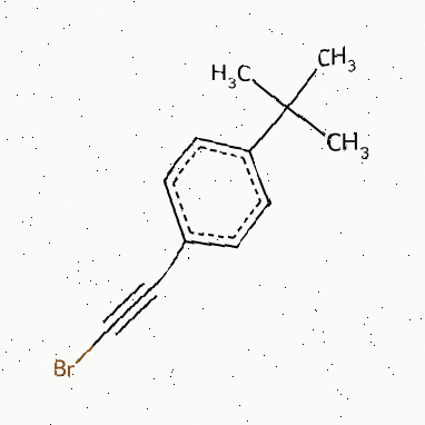 CC(C)(C)c1ccc(C#CBr)cc1